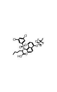 CCCCC(C(=O)O)N(c1cccc2c(OS(=O)(=O)C(F)(F)F)cccc12)S(=O)(=O)c1cc(Cl)cc(Cl)c1